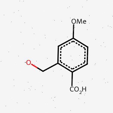 COc1ccc(C(=O)O)c(C[O])c1